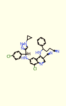 [2H]C(Nc1cc(Cl)c2ncc(C#N)c(NC(CCC#N)c3ccccc3)c2c1)(c1ccc(Cl)cc1)c1cn(C2CC2)nn1